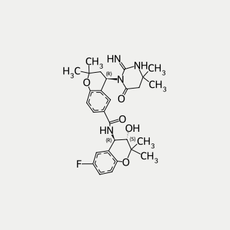 CC1(C)CC(=O)N([C@@H]2CC(C)(C)Oc3ccc(C(=O)N[C@@H]4c5cc(F)ccc5OC(C)(C)[C@H]4O)cc32)C(=N)N1